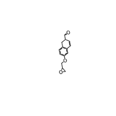 O=CC1C=Cc2cc(OCC3CO3)ccc2C1